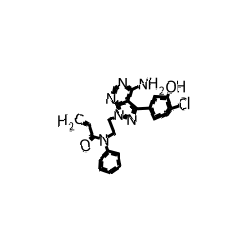 C=CC(=O)N(CCn1nc(-c2ccc(Cl)c(O)c2)c2c(N)ncnc21)c1ccccc1